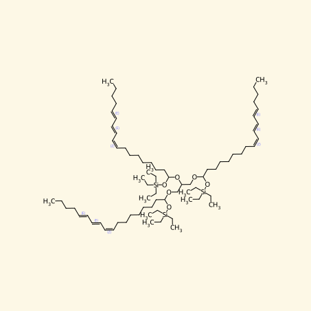 CCCC/C=C/C=C/C=C\CCCCCCCC(OCC(COC(CCCCCCC\C=C/C=C/C=C/CCCC)O[Si](CC)(CC)CC)OC(CCCCCCC\C=C/C=C/C=C/CCCC)O[Si](CC)(CC)CC)O[Si](CC)(CC)CC